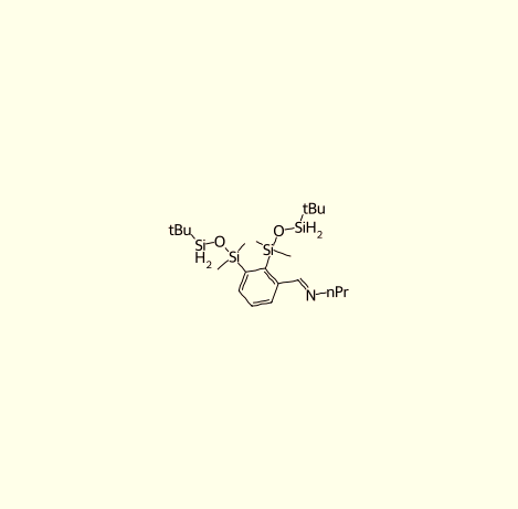 CCCN=Cc1cccc([Si](C)(C)O[SiH2]C(C)(C)C)c1[Si](C)(C)O[SiH2]C(C)(C)C